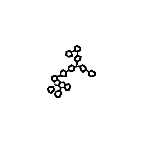 c1ccc(-c2ccc(N(c3ccc(-c4ccc(-c5cccc6c5c5c(n6-c6ccccc6)C(c6ccccc6)c6ccccc6C5)cc4)cc3)c3ccc(-c4ccccc4-c4ccccc4)cc3)cc2)cc1